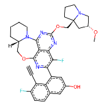 C#Cc1c(F)ccc2cc(O)cc(-c3nc4c5c(nc(OC[C@@]67CCCN6C[C@H](OC)C7)nc5c3F)N3CCCC[C@H]3CO4)c12